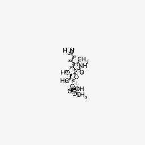 C=C1NC(=O)N([C@@H]2O[C@H](COP(=O)(O)OC)C(O)C2O)C=C1/C=C/CN